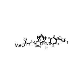 COC(=O)CCn1ccc2c(Nc3ccc(OC(F)(F)F)cc3)ncnc21